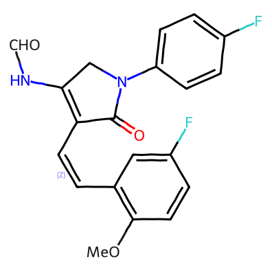 COc1ccc(F)cc1/C=C\C1=C(NC=O)CN(c2ccc(F)cc2)C1=O